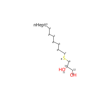 CCCCCCCCCCCCCCSCC(O)CO